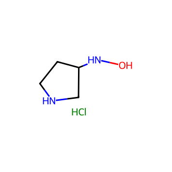 Cl.ONC1CCNC1